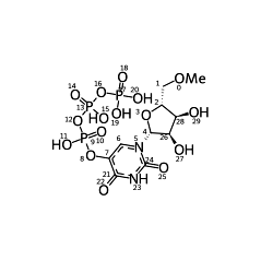 COC[C@H]1O[C@@H](n2cc(OP(=O)(O)OP(=O)(O)OP(=O)(O)O)c(=O)[nH]c2=O)[C@H](O)[C@@H]1O